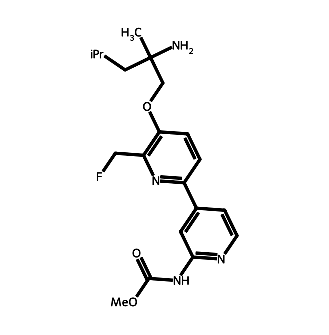 COC(=O)Nc1cc(-c2ccc(OCC(C)(N)CC(C)C)c(CF)n2)ccn1